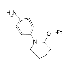 CCOC1CCCCN1c1ccc(N)cc1